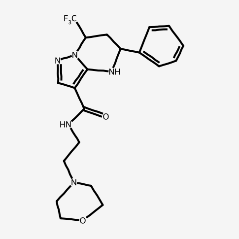 O=C(NCCN1CCOCC1)c1cnn2c1NC(c1ccccc1)CC2C(F)(F)F